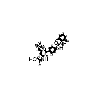 Cc1cccc(C)c1NC(=O)Nc1ccc(-c2nc(CS(C)(=O)=O)cc(N[C@@H](C)CO)n2)cc1